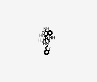 N=C1c2c(cccc2C(N)=O)NC(CNCCc2ccccc2F)N1N